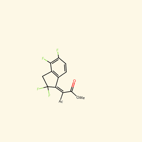 COC(=O)C(C(C)=O)=C1c2ccc(F)c(F)c2CC1(F)F